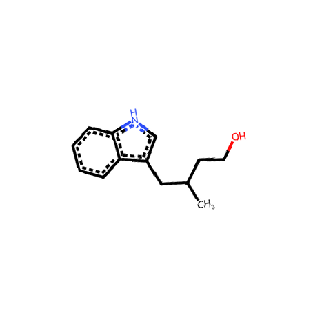 CC(CCO)Cc1c[nH]c2ccccc12